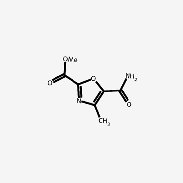 COC(=O)c1nc(C)c(C(N)=O)o1